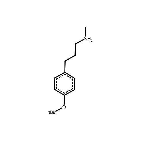 C[SiH2]CCCc1ccc(OC(C)(C)C)cc1